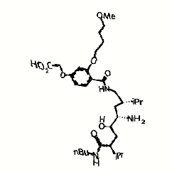 CCCCNC(=O)[C@@H](C[C@H](O)[C@@H](N)C[C@H](CNC(=O)c1ccc(OCC(=O)O)cc1OCCCCOC)C(C)C)C(C)C